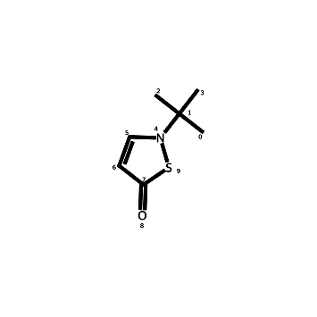 CC(C)(C)n1ccc(=O)s1